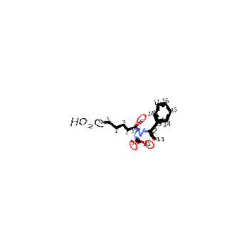 O=C(O)CCCCC(=O)N1C(=O)OCC1c1ccccc1